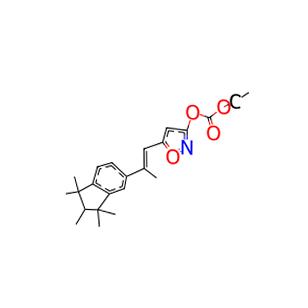 CCOC(=O)Oc1cc(/C=C(\C)c2ccc3c(c2)C(C)(C)C(C)C3(C)C)on1